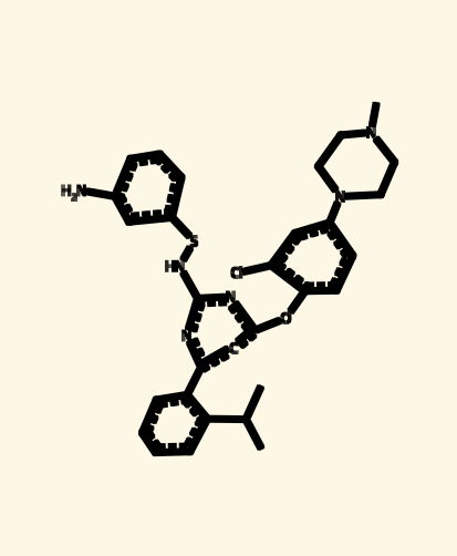 CC(C)c1ccccc1-c1cc(Oc2ccc(N3CCN(C)CC3)cc2Cl)nc(NSc2cccc(N)c2)n1